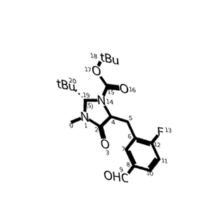 CN1C(=O)C(Cc2cc(C=O)ccc2F)N(C(=O)OC(C)(C)C)[C@H]1C(C)(C)C